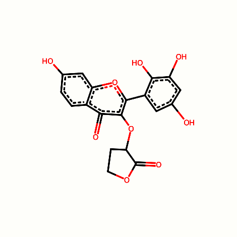 O=C1OCCC1Oc1c(-c2cc(O)cc(O)c2O)oc2cc(O)ccc2c1=O